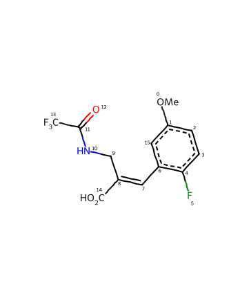 COc1ccc(F)c(C=C(CNC(=O)C(F)(F)F)C(=O)O)c1